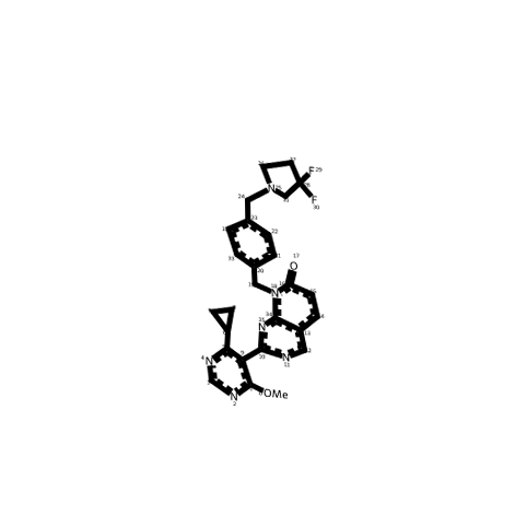 COc1ncnc(C2CC2)c1-c1ncc2ccc(=O)n(Cc3ccc(CN4CCC(F)(F)C4)cc3)c2n1